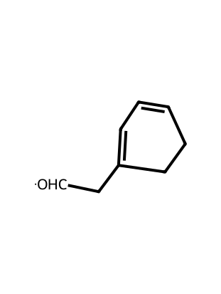 O=[C]CC1=CC=CCC1